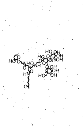 CC(=O)CCCCCNC(=O)CN(CC(=O)NCCO[C@H]1O[C@H](CO[C@H]2O[C@H](CO)[C@@H](O)[C@H](O)[C@@H]2O)[C@@H](O)[C@H](O[C@H]2O[C@H](CO)[C@@H](O)[C@H](O)[C@@H]2O)[C@@H]1O)CC(=O)NCCO[C@@H]1O[C@@H](C)CC[C@@H]1O